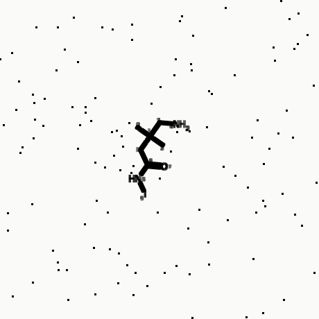 CC(C)(CN)CC(=O)NI